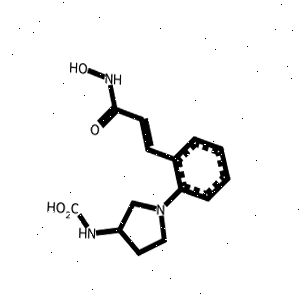 O=C(O)NC1CCN(c2ccccc2/C=C/C(=O)NO)C1